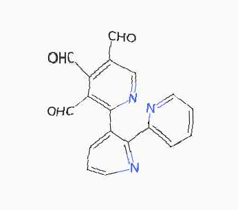 O=Cc1cnc(-c2cccnc2-c2ccccn2)c(C=O)c1C=O